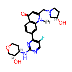 CC(C)n1c(CN2CC[C@H](O)C2)cc(=O)c2ccc(-c3nc(N[C@@H]4CCOC[C@H]4O)ncc3F)cc21